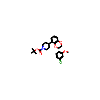 COc1cc(Cl)ccc1[C@H]1COc2cccc(C3CCN(C(=O)OC(C)(C)C)CC3)c2O1